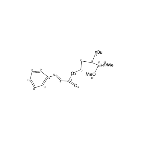 CCCCC(CCOC(=O)C=Cc1ccccc1)[SiH](OC)OC